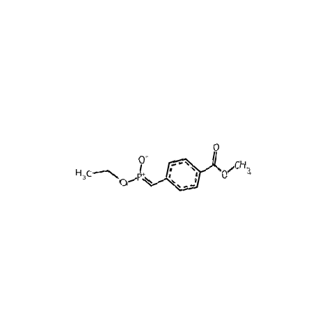 CCO/[P+]([O-])=C/c1ccc(C(=O)OC)cc1